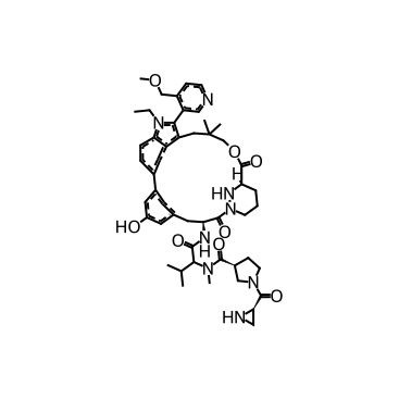 CCn1c(-c2cnccc2COC)c2c3cc(ccc31)-c1cc(O)cc(c1)C[C@H](NC(=O)C(C(C)C)N(C)C(=O)[C@H]1CCN(C(=O)[C@H]3CN3)C1)C(=O)N1CCC[C@H](N1)C(=O)OCC(C)(C)C2